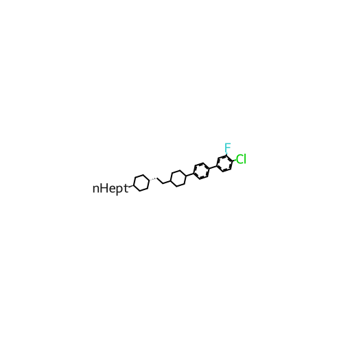 CCCCCCC[C@H]1CC[C@H](CCC2CCC(c3ccc(-c4ccc(Cl)c(F)c4)cc3)CC2)CC1